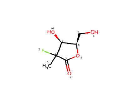 CC1(F)C(=O)O[C@H](CO)[C@@H]1O